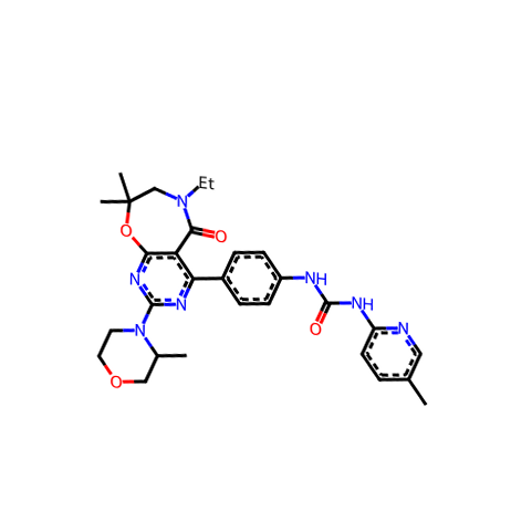 CCN1CC(C)(C)Oc2nc(N3CCOCC3C)nc(-c3ccc(NC(=O)Nc4ccc(C)cn4)cc3)c2C1=O